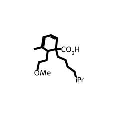 COCCC1C(C)=CC=CC1(CCCCC(C)C)C(=O)O